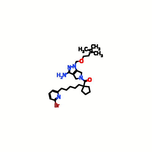 C[Si](C)(C)CCOCn1nc(N)c2c1CN(C(=O)C1(CCCCCc3cccc(Br)n3)CCCC1)C2